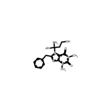 CCCC(N)(CCO)n1c(Cc2ccccc2)nc2c1c(=O)n(C)c(=O)n2C